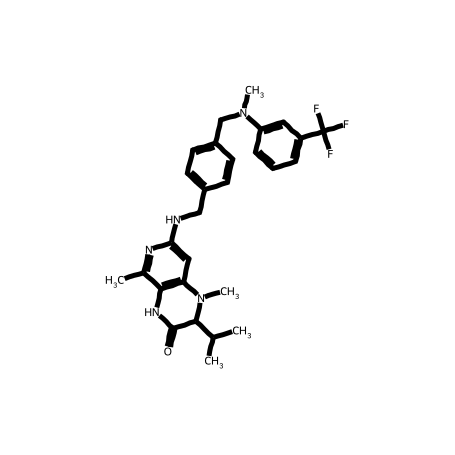 Cc1nc(NCc2ccc(CN(C)c3cccc(C(F)(F)F)c3)cc2)cc2c1NC(=O)C(C(C)C)N2C